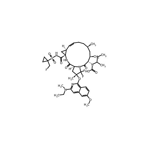 CCC(C)N(C(=O)O)[C@@H]1C(=O)N2[C@@H](C[C@@](C)(Oc3nc(N(C)CC)cc4cc(OC)ccc34)C2(F)F)C(=O)N[C@]2(C(=O)NS(=O)(=O)C3(CF)CC3)C[C@H]2/C=C\CC[C@@H](C)C[C@H]1C